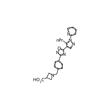 CCCc1c(-c2nc(-c3ccc(CN4CC(C(=O)O)C4)cc3)no2)cnn1-c1ccccn1